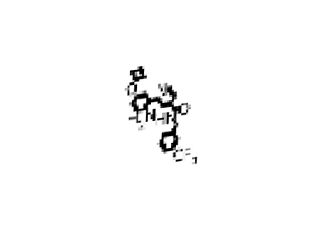 Nc1ccc(OC2CCC2)cc1-c1cc(C(=O)NCc2cccc(C(F)(F)F)c2)ccn1